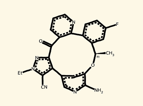 CCn1nc2c(c1C#N)-c1cnc(N)c(c1)O[C@H](C)c1cc(F)ccc1-c1ncccc1C2=O